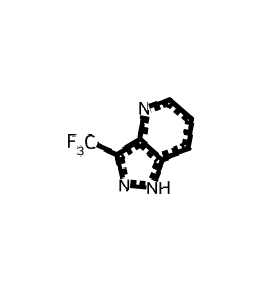 FC(F)(F)c1n[nH]c2cccnc12